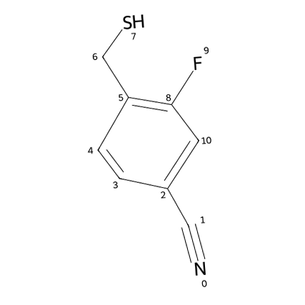 N#Cc1ccc(CS)c(F)c1